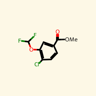 COC(=O)c1ccc(Cl)c(OC(F)F)c1